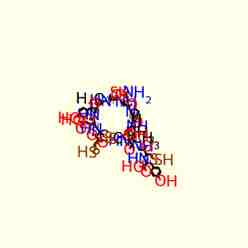 CC1N[C@@H](CS)C(=O)N[C@@H](CC(N)=O)C(=O)N2CCC[C@H]2C(=O)N[C@@H](C)C(=O)C(N[C@H](C(=O)NCC(=O)C(CSS)N[C@@H](Cc2ccc(O)cc2)C(=O)O)[C@@H](C)O)CSSCC(C(=O)C(=O)CSS)N[C@@H](CCC(=O)O)C(=O)N[C@@H](Cc2ccc(O)cc2)C1=O